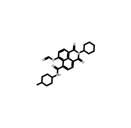 CC1CCC(NC(=O)c2ccc3c4c(ccc(OC=O)c24)C(=O)N(C2CCCCC2)C3=O)CC1